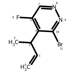 C=CC(C)c1c(F)cnnc1Br